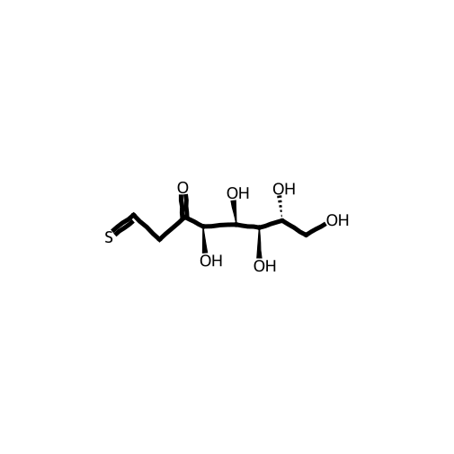 O=C(CC=S)[C@H](O)[C@@H](O)[C@H](O)[C@H](O)CO